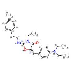 CCN1C(=O)/C(=C\c2ccc(N(CC)CC)cc2)O/C1=N/CCc1ccc(C)cc1